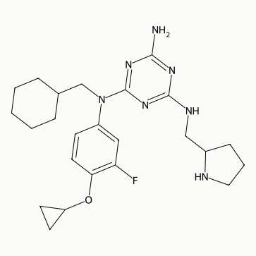 Nc1nc(NCC2CCCN2)nc(N(CC2CCCCC2)c2ccc(OC3CC3)c(F)c2)n1